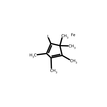 CC1=C(C)C(C)(C)C(I)=C1C.[Fe]